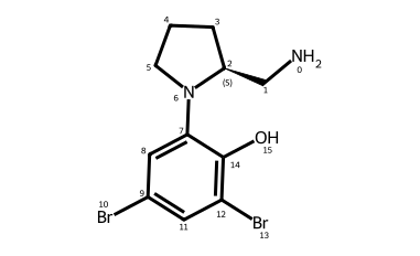 NC[C@@H]1CCCN1c1cc(Br)cc(Br)c1O